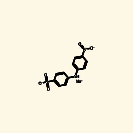 O=[N+]([O-])c1ccc(Nc2ccc(S(=O)(=O)[O-])cc2)cc1.[Na+]